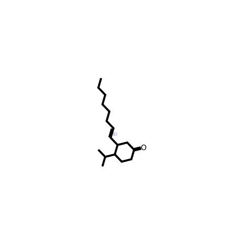 CCCCCC/C=C/C1CC(=O)CCC1C(C)C